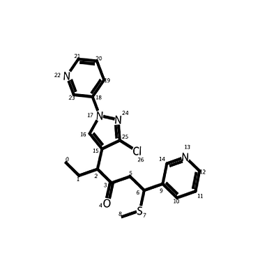 CCC(C(=O)CC(SC)c1cccnc1)c1cn(-c2cccnc2)nc1Cl